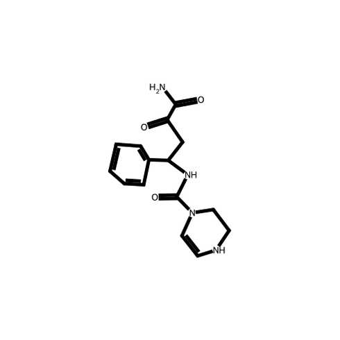 NC(=O)C(=O)CC(NC(=O)N1C=CNCC1)c1ccccc1